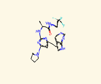 C[C@H](Nc1nc(-c2c[nH]c3ncncc23)cc(N2CCCC2)n1)C(=O)NCC(F)(F)F